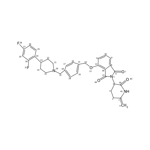 C=C1CCC(N2C(=O)c3cccc(OCc4ccc(CN5CCC(c6ccc(F)cc6F)CC5)cc4)c3C2=O)C(=O)N1